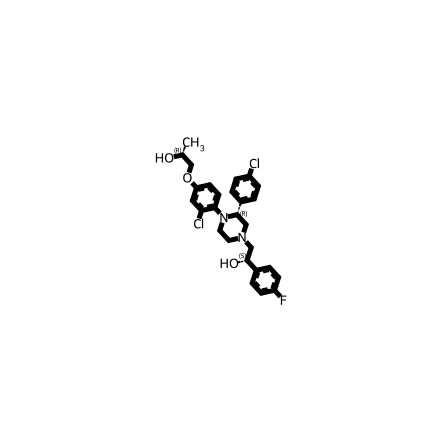 C[C@@H](O)COc1ccc(N2CCN(C[C@@H](O)c3ccc(F)cc3)C[C@H]2c2ccc(Cl)cc2)c(Cl)c1